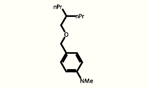 CCCC(CCC)COCc1ccc(NC)cc1